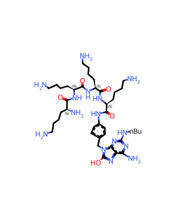 CCCCNc1nc(N)c2nc(O)n(Cc3ccc(NC(=O)[C@H](CCCCN)NC(=O)[C@H](CCCCN)NC(=O)[C@H](CCCCN)NC(=O)[C@@H](N)CCCCN)cc3)c2n1